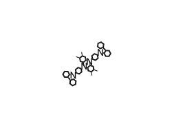 Cc1cc2c(cc1C)N(c1ccc(-n3c4ccccc4c4ccccc43)cc1)c1cc(C)c(C)cc1N2c1ccc(-n2c3ccccc3c3ccccc32)cc1